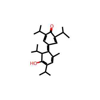 CC1=CC(C(C)C)=C(O)C(C(C)C)C1=C1C=C(C(C)C)C(=O)C(C(C)C)=C1